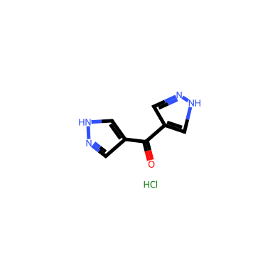 Cl.O=C(c1cn[nH]c1)c1cn[nH]c1